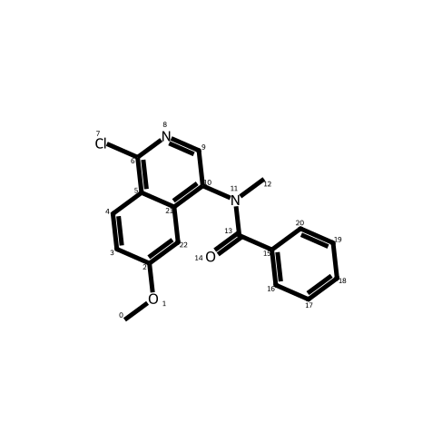 COc1ccc2c(Cl)ncc(N(C)C(=O)c3ccccc3)c2c1